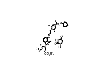 CCOC(=O)CCN(C(N)=O)c1nn(C)c2c(OCCCN3[C@H](C)CN(C(=O)OCc4ccccc4)C[C@@H]3C)cccc12.O=C1CCNC(=O)N1